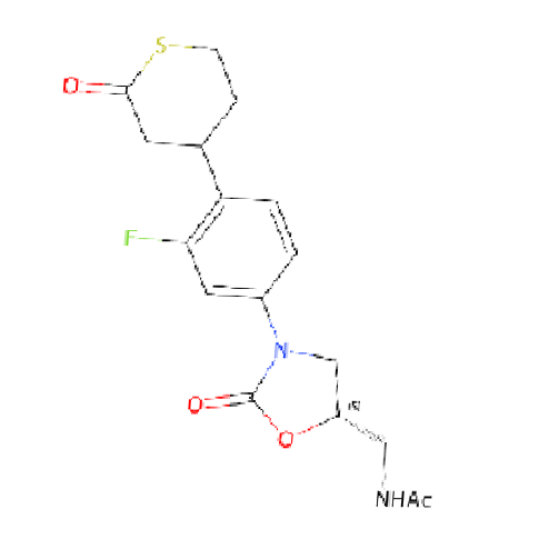 CC(=O)NC[C@H]1CN(c2ccc(C3CCSC(=O)C3)c(F)c2)C(=O)O1